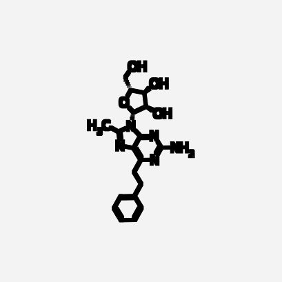 Cc1nc2c(CCc3ccccc3)nc(N)nc2n1[C@@H]1O[C@H](CO)[C@@H](O)[C@H]1O